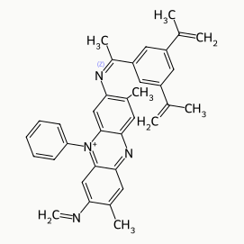 C=Nc1cc2c(cc1C)nc1cc(C)c(/N=C(/C)c3cc(C(=C)C)cc(C(=C)C)c3)cc1[n+]2-c1ccccc1